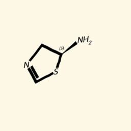 N[C@@H]1CN=CS1